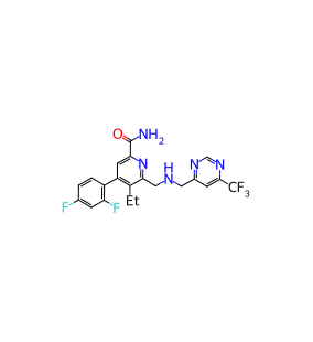 CCc1c(-c2ccc(F)cc2F)cc(C(N)=O)nc1CNCc1cc(C(F)(F)F)ncn1